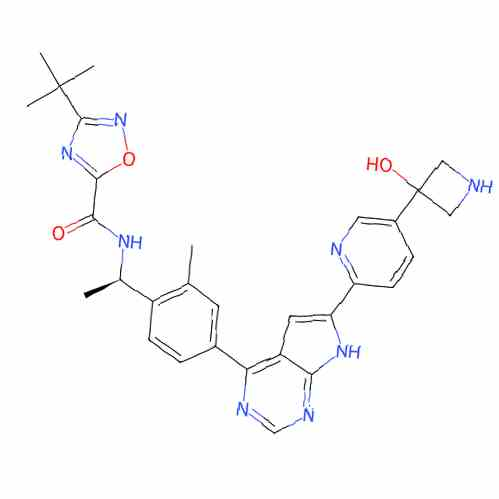 Cc1cc(-c2ncnc3[nH]c(-c4ccc(C5(O)CNC5)cn4)cc23)ccc1[C@@H](C)NC(=O)c1nc(C(C)(C)C)no1